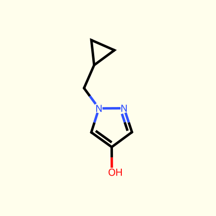 Oc1cnn(CC2CC2)c1